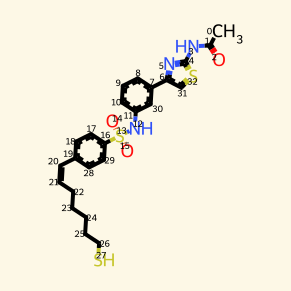 CC(=O)Nc1nc(-c2cccc(NS(=O)(=O)c3ccc(/C=C\CCCCCS)cc3)c2)cs1